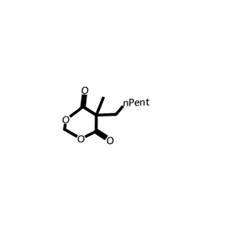 CCCCCCC1(C)C(=O)OCOC1=O